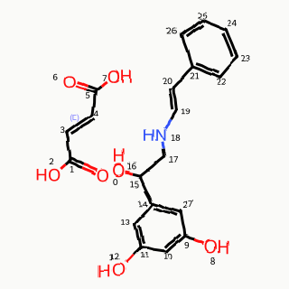 O=C(O)/C=C/C(=O)O.Oc1cc(O)cc(C(O)CNC=Cc2ccccc2)c1